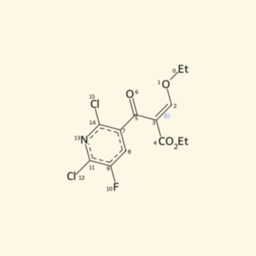 CCO/C=C(/C(=O)OCC)C(=O)c1cc(F)c(Cl)nc1Cl